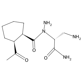 CC(=O)[C@H]1CCCC[C@H]1C(=O)N(N)[C@H](CN)C(N)=O